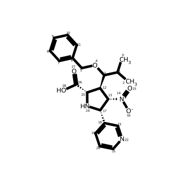 CC(C)C(OCc1ccccc1)[C@H]1[C@H]([N+](=O)[O-])[C@H](c2cccnc2)N[C@@H]1C(=O)O